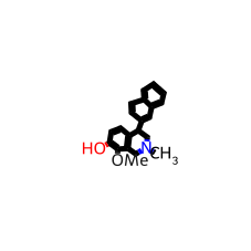 COc1c(O)ccc2c1CN(C)CC2c1ccc2ccccc2c1